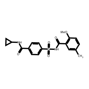 COc1ccc(C)cc1C(=O)NS(=O)(=O)c1ccc(C(=O)NC2CC2)cc1